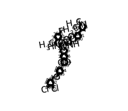 Cc1nccc(-c2ccc(C[C@H](NC(=O)[C@@H]3Cc4cc5c(cc4CN3C(=O)N[C@H](C)c3ccc(F)cc3)O[C@@H](c3ccc(OCc4ccc(Cl)c(Cl)c4)cc3)CO5)C(=O)O)cc2)c1C